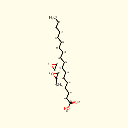 C1CO1.CC1CO1.CCCCCCCCCCCCCCCCCC(=O)O